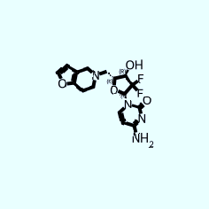 Nc1ccn([C@@H]2O[C@H](CN3CCc4occc4C3)[C@@H](O)C2(F)F)c(=O)n1